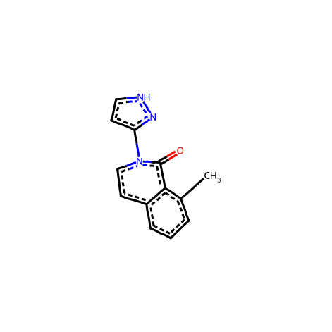 Cc1cccc2ccn(-c3cc[nH]n3)c(=O)c12